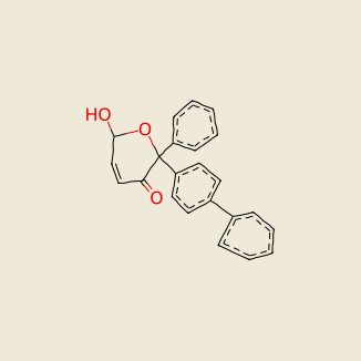 O=C1C=CC(O)OC1(c1ccccc1)c1ccc(-c2ccccc2)cc1